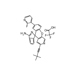 CC(C)(C)C#Cc1cc2c(cn1)Oc1ccc(-c3cccnc3F)cc1C21N=C(N)c2ccccc21.O=C(O)C(F)(F)F